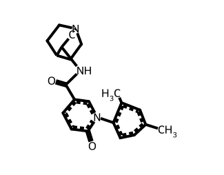 Cc1ccc(-n2cc(C(=O)NC3CN4CCC3CC4)ccc2=O)c(C)c1